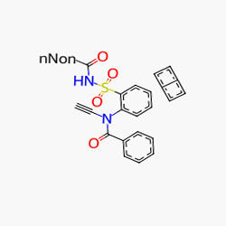 C#CN(C(=O)c1ccccc1)c1ccccc1S(=O)(=O)NC(=O)CCCCCCCCC.c1cc2ccc1-2